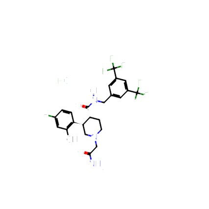 Cc1cc(F)ccc1[C@@H]1CN(CC(N)=O)CC[C@H]1C(=O)N(C)Cc1cc(C(F)(F)F)cc(C(F)(F)F)c1.Cl